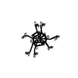 CCC[C]12[CH]3[C]4(CCC)[C]5(CCC)[CH]1[Fe]32451678[CH]2[C]1(CCC)[C]6(CCC)[C]7(CCC)[C]28CCC